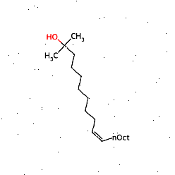 CCCCCCCC/C=C\CCCCCCCC(C)(C)O